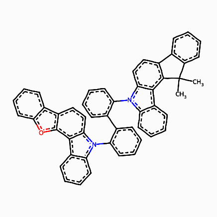 CC1(C)c2ccccc2-c2ccc3c(c21)c1ccccc1n3-c1ccccc1-c1ccccc1-n1c2ccccc2c2c3oc4ccccc4c3ccc21